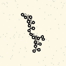 c1ccc(N(c2cccc(-c3ccc4c(c3)sc3c5c(ccc34)B3c4ccc6c7ccc(N(c8ccccc8)c8ccccc8)cc7n(-c7ccccc7)c6c4Oc4cc(-c6cccc7ccccc67)cc(c43)O5)c2)c2ccc3c4ccc5c(c4n(-c4ccccc4)c3c2)Oc2cccc3c2B5c2ccc4c(oc5ccccc54)c2O3)cc1